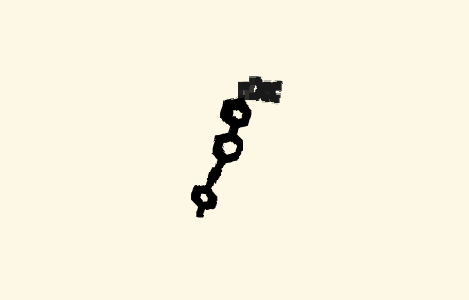 CCCCCCCCCCc1ccc(C2CCC(C#Cc3ccc(C)cc3)CC2)cc1